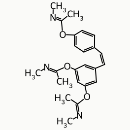 C/N=C(\C)Oc1ccc(/C=C\c2cc(O/C(C)=N/C)cc(O/C(C)=N/C)c2)cc1